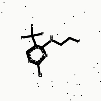 FCCNc1nc(Cl)ncc1C(F)(F)F